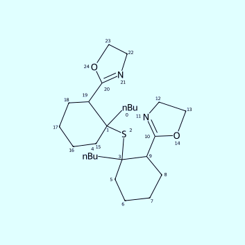 CCCCC1(SC2(CCCC)CCCCC2C2=NCCO2)CCCCC1C1=NCCO1